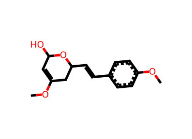 COC1=CC(O)OC(/C=C/c2ccc(OC)cc2)C1